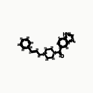 O=C(c1ccc2[nH]cnc2c1)N1CCN(C/C=C/c2ccccc2)CC1